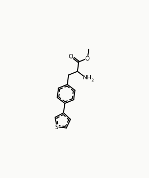 COC(=O)C(N)Cc1ccc(-c2ccsc2)cc1